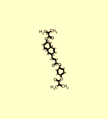 C=C(C)C(=O)Oc1ccc(OC(=O)/C=C/c2ccc3cc(OC(=O)C(=C)C)ccc3c2)cc1